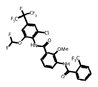 COc1c(NC(=O)c2ccccc2C(F)(F)F)cccc1C(=O)Nc1c(Cl)cc(C(F)(C(F)(F)F)C(F)(F)F)cc1OC(F)F